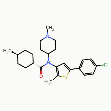 Cc1sc(-c2ccc(Cl)cc2)cc1N(C(=O)[C@H]1CC[C@H](C)CC1)C1CCN(C)CC1